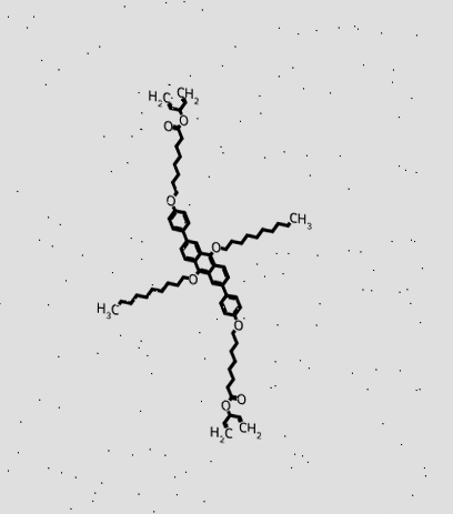 C=CC(C=C)OC(=O)CCCCCCCOc1ccc(-c2ccc3c(OCCCCCCCCCC)c4cc(-c5ccc(OCCCCCCCC(=O)OC(C=C)C=C)cc5)ccc4c(OCCCCCCCCCC)c3c2)cc1